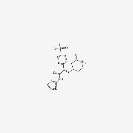 CS(=O)(=O)c1ccc(/C(=C\C2CC[SH2]C(=O)C2)C(=O)Nc2nccs2)cc1